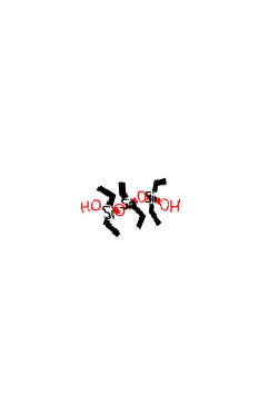 CC[Si](O)(CC)O[Si](CC)(CC)O[Si](O)(CC)CC